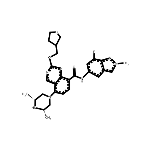 C[C@@H]1CN(c2ccc(C(=O)Nc3cc(F)c4nn(C)cc4c3)c3nc(OCC4CCOC4)ncc23)C[C@H](C)N1